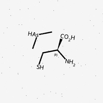 C[AsH]C.N[C@@H](CS)C(=O)O